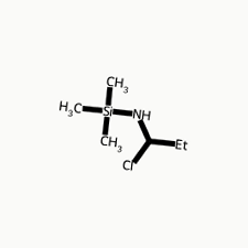 CCC(Cl)N[Si](C)(C)C